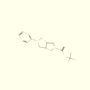 CC(C)(C)OC(=O)N1CC2CN(c3cccnc3)CC2C1